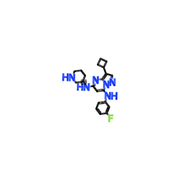 Fc1cccc(Nc2cc(N[C@H]3CCCNC3)nc3c(C4CCC4)cnn23)c1